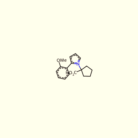 COc1ccccc1-c1cccn1C1(C(=O)O)CCCC1